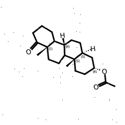 CC(=O)O[C@@H]1CC[C@]2(C)C3CC[C@]4(C)C(=O)CCCC4[C@@H]3CC[C@H]2C1